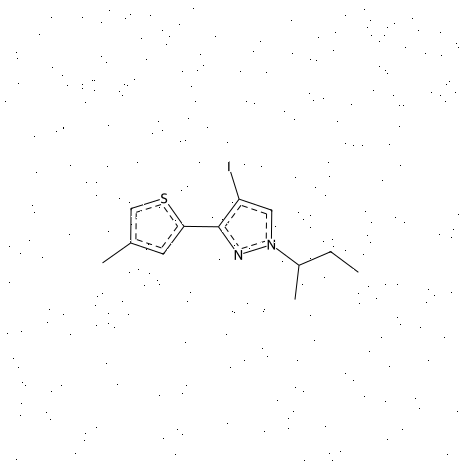 CCC(C)n1cc(I)c(-c2cc(C)cs2)n1